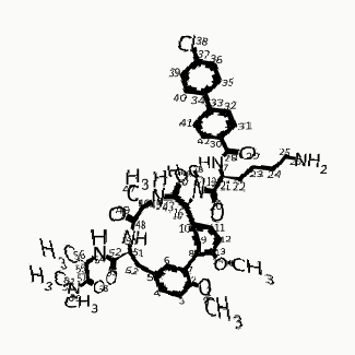 COc1ccc2cc1-c1cc(ccc1OC)[C@H](N(C)C(=O)[C@H](CCCCN)NC(=O)c1ccc(-c3ccc(Cl)cc3)cc1)C(=O)N[C@@H](C)C(=O)N[C@H](C(=O)N[C@@H](C)C(=O)N(C)C)C2